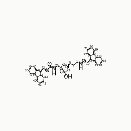 O=C(O)CN(CCCNOCC1c2ccccc2-c2ccccc21)CCCNC(=O)OCC1c2ccccc2C2=CC=CCC21